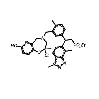 CCOC(=O)CC(c1ccc(C)c(CN2Cc3nc(O)ccc3O[C@](C)(CC)C2)c1)c1ccc2c(nnn2C)c1C